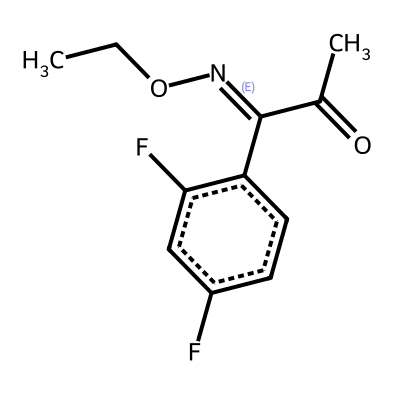 CCO/N=C(/C(C)=O)c1ccc(F)cc1F